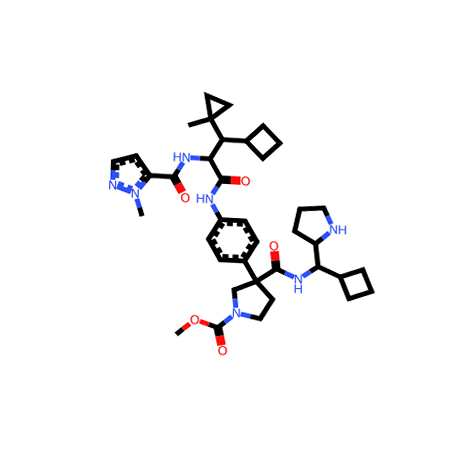 COC(=O)N1CCC(C(=O)NC(C2CCC2)C2CCCN2)(c2ccc(NC(=O)C(NC(=O)c3ccnn3C)C(C3CCC3)C3(C)CC3)cc2)C1